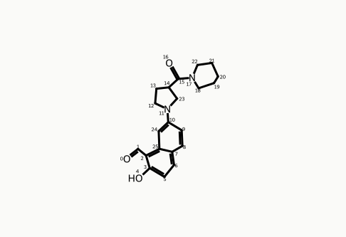 O=Cc1c(O)ccc2ccc(N3CCC(C(=O)N4CCCCC4)C3)cc12